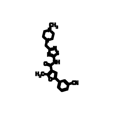 Cc1oc(-c2cccc(C#N)c2)cc1C(=O)Nc1nc(CN2CCN(C)CC2)ns1